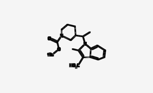 Cc1c(C(=O)O)c2ccccc2n1C(C)C1CCCN(C(=O)OC(C)(C)C)C1